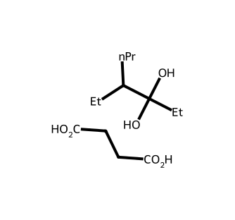 CCCC(CC)C(O)(O)CC.O=C(O)CCC(=O)O